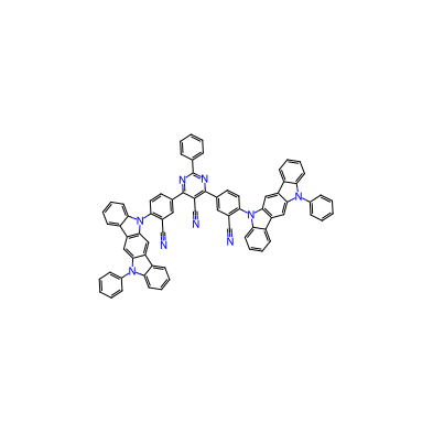 N#Cc1cc(-c2nc(-c3ccccc3)nc(-c3ccc(-n4c5ccccc5c5cc6c(cc54)c4ccccc4n6-c4ccccc4)c(C#N)c3)c2C#N)ccc1-n1c2ccccc2c2cc3c(cc21)c1ccccc1n3-c1ccccc1